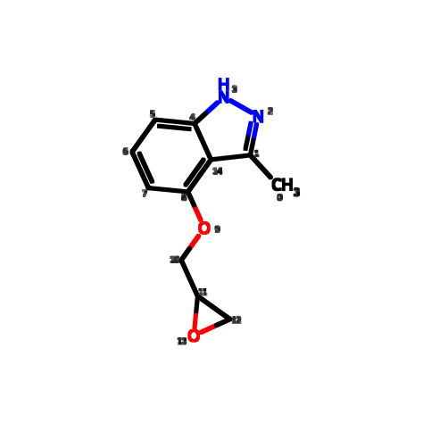 Cc1n[nH]c2cccc(OCC3CO3)c12